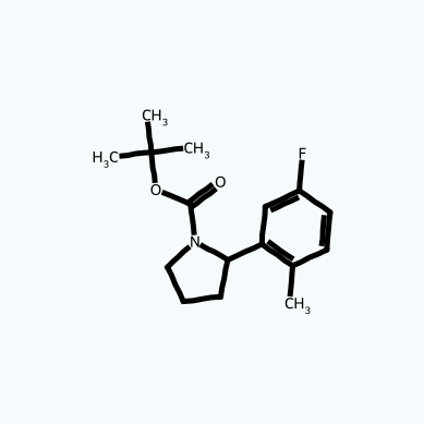 Cc1ccc(F)cc1C1CCCN1C(=O)OC(C)(C)C